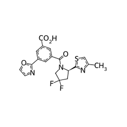 Cc1csc([C@H]2CC(F)(F)CN2C(=O)c2cc(C(=O)O)cc(-c3ncco3)c2)n1